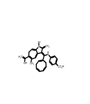 C=C(O)C1=C(C)C=c2c(n(C(C)=O)c(=C)/c2=C(Nc2ccc(C(=O)O)cc2)/C2=C/C/C=C\C=C/C2)=CC1